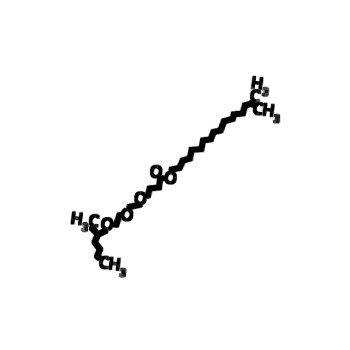 CCCCC(CC)COCCOCCOCCCC(=O)OCCCCCCCCCCCCCCCC(C)C